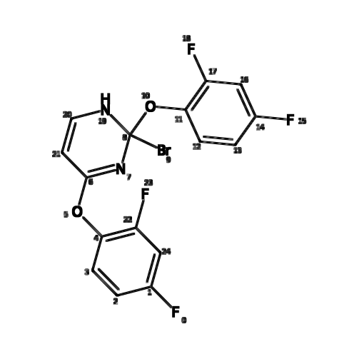 Fc1ccc(OC2=NC(Br)(Oc3ccc(F)cc3F)NC=C2)c(F)c1